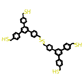 SCc1ccc(-c2cc(-c3ccc(CS)cc3)cc(-c3ccc(CSSCc4ccc(-c5cc(-c6ccc(CS)cc6)cc(-c6ccc(CS)cc6)c5)cc4)cc3)c2)cc1